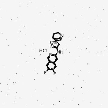 Cl.Fc1cc2cnc(NC3=NO[C@@]4(C3)CN3CCC4CC3)cc2cc1F